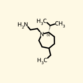 CCC1CC[C@@H](C(C)C)N(CCN)CC1